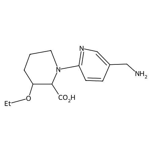 CCOC1CCCN(c2ccc(CN)cn2)C1C(=O)O